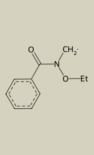 [CH2]N(OCC)C(=O)c1ccccc1